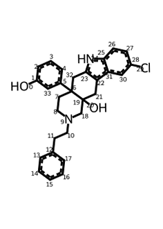 Oc1cccc(C23CCN(CCc4ccccc4)CC2(O)Cc2c([nH]c4ccc(Cl)cc24)C3)c1